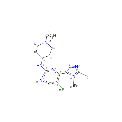 Cc1ncc(-c2nc(NC3CCN(C(=O)O)CC3)ncc2F)n1C(C)C